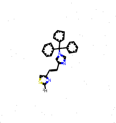 [2H]c1nc(C=Cc2cn(C(c3ccccc3)(c3ccccc3)c3ccccc3)cn2)cs1